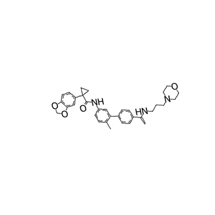 C=C(NCCCN1CCOCC1)c1ccc(-c2cc(NC(=O)C3(c4ccc5c(c4)OCO5)CC3)ccc2C)cc1